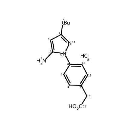 CC(C)(C)c1cc(N)n(-c2ccc(CC(=O)O)cc2)n1.Cl